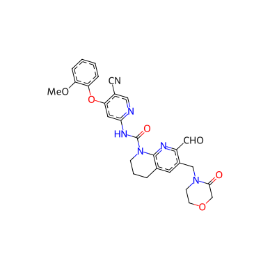 COc1ccccc1Oc1cc(NC(=O)N2CCCc3cc(CN4CCOCC4=O)c(C=O)nc32)ncc1C#N